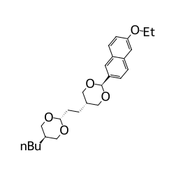 CCCC[C@H]1CO[C@H](CC[C@H]2CO[C@H](c3ccc4cc(OCC)ccc4c3)OC2)OC1